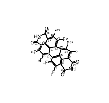 Cc1c2c3c(c(F)c(F)c4c5c(F)c(F)c6c7c(c(F)c(F)c(c(c1F)c34)c75)C(=O)NC6=O)C(=O)NC2=O